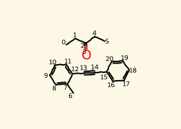 CCC(=O)CC.Cc1ccccc1C#Cc1ccccc1